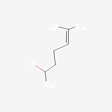 [CH2]C(O)CCC=C(C)C